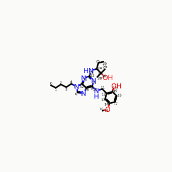 CCCCCn1cnc2c(NCc3cc(OC)ccc3O)nc(NC(CC)C(C)(C)O)nc21